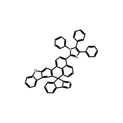 c1ccc(-c2nc(-c3ccc4c5c(cccc35)C3(c5ccccc5-c5ccccc53)c3cc5c(cc3-4)oc3ccccc35)n(-c3ccccc3)c2-c2ccccc2)cc1